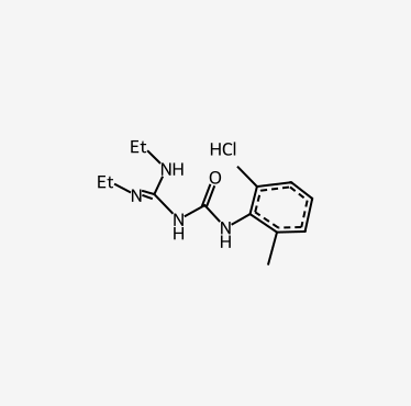 CCN=C(NCC)NC(=O)Nc1c(C)cccc1C.Cl